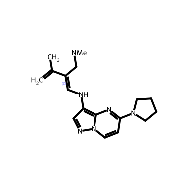 C=C(C)/C(=C/Nc1cnn2ccc(N3CCCC3)nc12)CNC